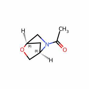 CC(=O)N1C[C@H]2C[C@@H]1CO2